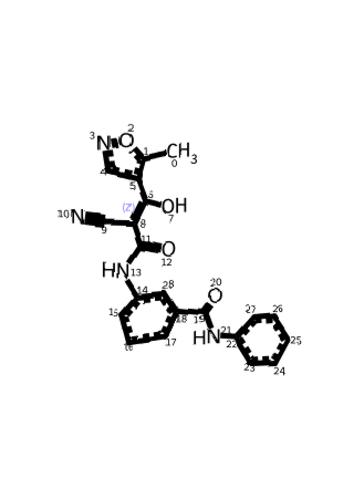 Cc1oncc1/C(O)=C(\C#N)C(=O)Nc1cccc(C(=O)Nc2ccccc2)c1